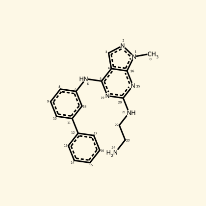 Cn1ncc2c(Nc3cccc(-c4ccccc4)c3)nc(NCCN)nc21